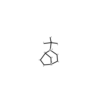 CC(C)(C)N1CCN2CCC1C2